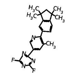 Cc1cc(-c2nc(F)nc(F)n2)cnc1-c1ccc2c(c1)C(C)(C)CC2(C)C